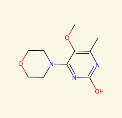 COc1c(C)nc(O)nc1N1CCOCC1